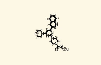 CC(C)(C)OC(=O)N1CCN(c2nc(-c3cnc4ccccc4c3)cc(N3CCOCC3)n2)CC1